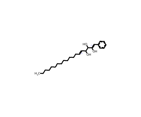 CCCCCCCCCCCCC/C=C/C(O)C(O)/C(O)=C/c1ccccc1